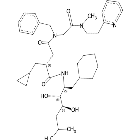 CC(C)C[C@H](O)[C@H](O)[C@H](CC1CCCCC1)NC(=O)[C@@H](CC(=O)N(CC(=O)N(C)CCc1ccccn1)Cc1ccccc1)CC1CC1